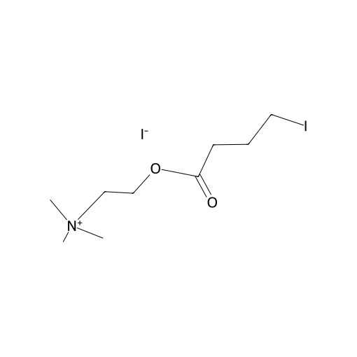 C[N+](C)(C)CCOC(=O)CCCI.[I-]